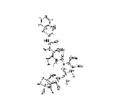 CC[C@H](C)[C@@H]([C@@H](CC(=O)N1CCC[C@H]1[C@H](OC)[C@@H](C)C(=O)N[C@H](CO)Cc1ccccc1)OC)N(C)C(=O)[C@@H](NC(=O)[C@@H]1[C@H]2CC[C@H](C2)N1C)C(C)C